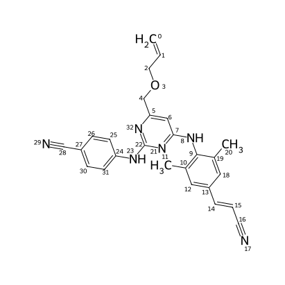 C=CCOCc1cc(Nc2c(C)cc(/C=C/C#N)cc2C)nc(Nc2ccc(C#N)cc2)n1